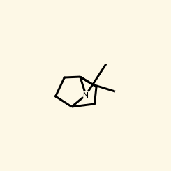 CC1(C)N2C3CCC21CC3